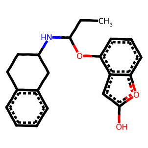 CCC(NC1CCc2ccccc2C1)Oc1cccc2oc(O)cc12